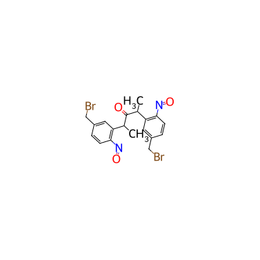 CC(C(=O)C(C)c1cc(CBr)ccc1N=O)c1cc(CBr)ccc1N=O